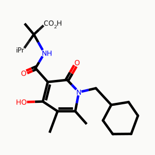 Cc1c(O)c(C(=O)NC(C)(C(=O)O)C(C)C)c(=O)n(CC2CCCCC2)c1C